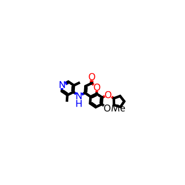 COc1ccc2c(Nc3c(C)cncc3C)cc(=O)oc2c1OC1CCCC1